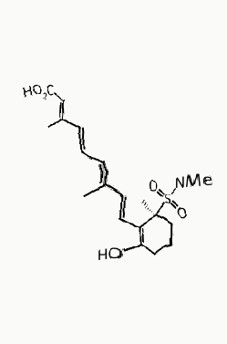 CNS(=O)(=O)[C@@]1(C)CCCC(O)=C1/C=C/C(C)=C/C=C/C(C)=C/C(=O)O